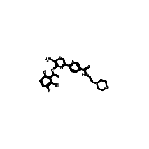 CC(Oc1nc(-c2ccc(C(=O)NCCN3CCOCC3)cn2)cnc1N)c1c(Cl)ccc(F)c1Cl